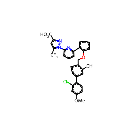 COc1ccc(-c2ccc(COc3ccccc3-c3cccc(-n4nc(C(=O)O)cc4C(F)(F)F)n3)c(C)c2)c(Cl)c1